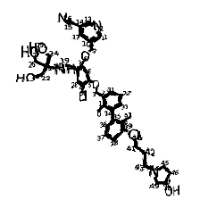 Cc1c(COc2cc(OCc3cncc(C#N)c3)c(CNC(CO)(CO)CO)cc2Cl)cccc1-c1cccc(OCCCN2CC[C@@H](O)C2)c1C